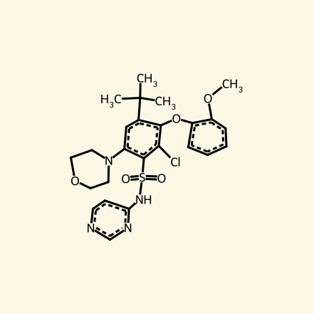 COc1ccccc1Oc1c(C(C)(C)C)cc(N2CCOCC2)c(S(=O)(=O)Nc2ccncn2)c1Cl